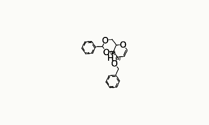 C1=C[C@H](OCc2ccccc2)[C@@H]2OC(c3ccccc3)OCC2O1